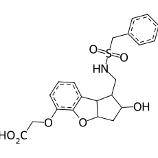 O=C(O)COc1cccc2c1OC1CC(O)C(CNS(=O)(=O)Cc3ccccc3)C21